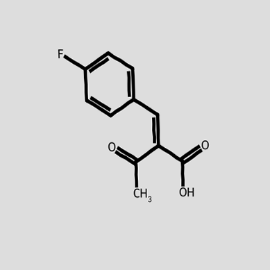 CC(=O)/C(=C\c1ccc(F)cc1)C(=O)O